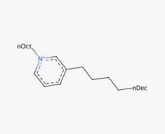 CCCCCCCCCCCCCCc1ccc[n+](CCCCCCCC)c1